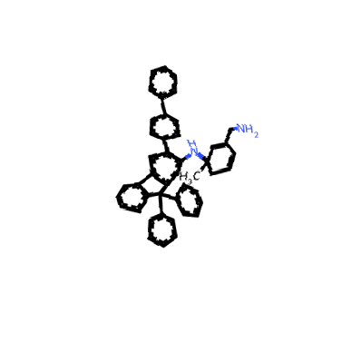 CC1(Nc2cc3c(cc2-c2ccc(-c4ccccc4)cc2)-c2ccccc2C3(c2ccccc2)c2ccccc2)C=C(CN)C=CC1